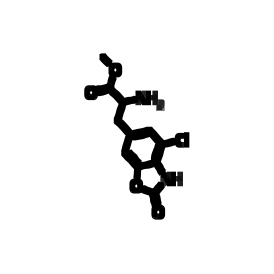 COC(=O)C(N)Cc1cc(Cl)c2[nH]c(=O)oc2c1